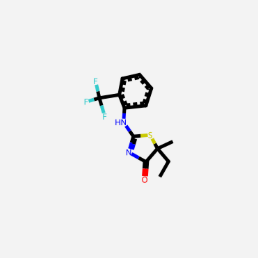 CCC1(C)SC(Nc2ccccc2C(F)(F)F)=NC1=O